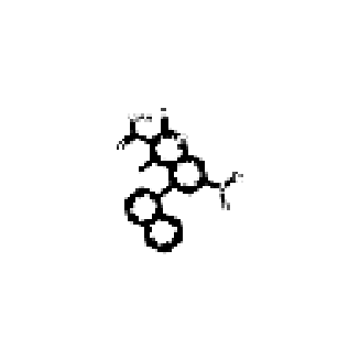 CCN(CC)c1cc(-c2cccc3ccccc23)c2c(C)c(C(=O)OC)c(=O)oc2c1